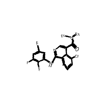 CCN(CC)C(=O)c1cnc(Nc2cc(F)cc(F)c2F)c2cccc(Cl)c12